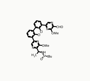 COc1nc(-c2cccc(-c3cccc(-c4cnc(C(C)N[S@+]([O-])C(C)(C)C)c(OC)n4)c3Cl)c2Cl)cnc1C=O